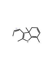 C/C=C\C1=C(C)SC2=C(C)C=CCC12C